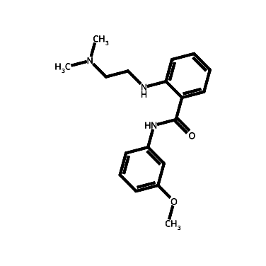 COc1cccc(NC(=O)c2ccccc2NCCN(C)C)c1